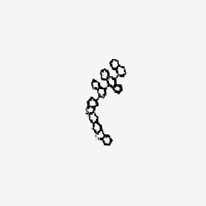 c1ccc2c(-c3c4ccccc4c(-c4ccc(-c5ccc6sc7cc8cc9sc%10ccccc%10c9cc8cc7c6c5)c5ccccc45)c4ccccc34)cccc2c1